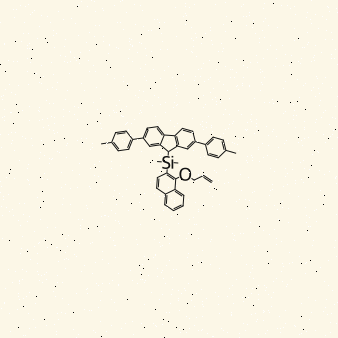 C=CCOc1c([Si](C)(C)C2c3cc(-c4ccc(C)cc4)ccc3-c3ccc(-c4ccc(C)cc4)cc32)ccc2ccccc12